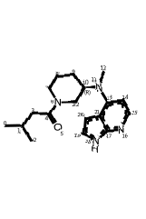 CC(C)CC(=O)N1CCC[C@@H](N(C)c2ccnc3[nH]ccc23)C1